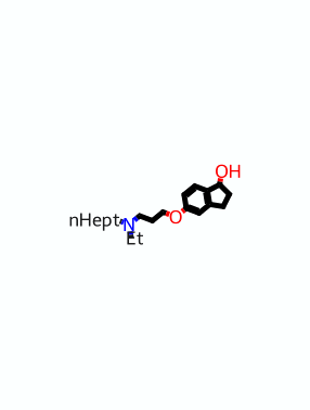 CCCCCCCN(CC)CCCOc1ccc2c(c1)CCC2O